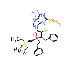 CCS(C#CC1(CCc2ccccc2)OC(n2cnc3c(N)nc(P)nc32)C(F)C1Cc1ccccc1)(CC)CC